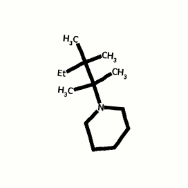 CCC(C)(C)C(C)(C)N1CCCCC1